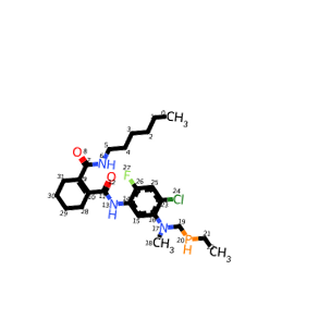 CCCCCCNC(=O)C1=C(C(=O)Nc2cc(N(C)CPCC)c(Cl)cc2F)CCCC1